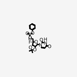 CC1(C)OC2C(n3ccc(=O)[nH]c3=O)O[C@](F)(CO[PH](=O)Oc3ccccc3)C2O1